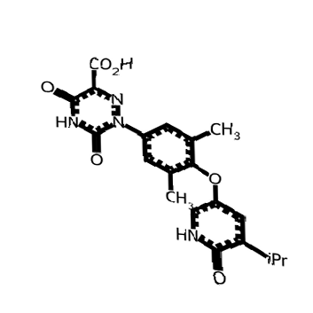 Cc1cc(-n2nc(C(=O)O)c(=O)[nH]c2=O)cc(C)c1Oc1c[nH]c(=O)c(C(C)C)c1